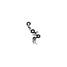 O=C(Nc1ccccc1-c1ccn(CC(F)(F)F)n1)c1ccc(OCCN2CCCCC2)cc1